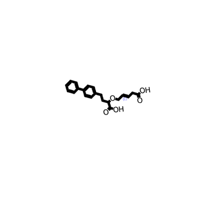 O=C(O)C/C=C/COC(CCc1ccc(-c2ccccc2)cc1)C(=O)O